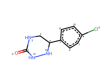 O=C1NCC(c2ccc(Cl)cc2)NN1